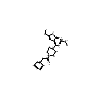 CCc1cc2c(N3CCN(C(=O)Cc4ccccc4)CC3)nc(SC)nc2s1